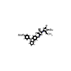 CC=c1/c(=c2\s/c(=C/c3ccc4c(c3)C3CCCC3N4c3ccc(OC)cc3)c(=O)n2CC)sc(=S)n1CCCC